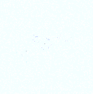 CCn1cc(-c2nc3c(nc2N2CCC(Oc4ccc(F)cc4F)CC2)CCN(C(=O)C2CC(F)(F)CN2)C3)cn1